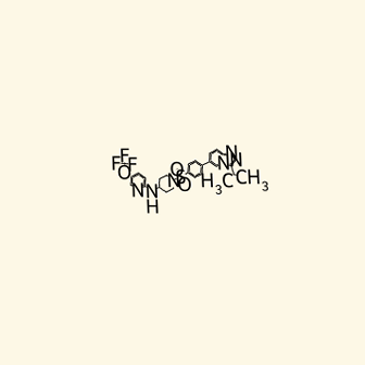 CC(C)c1nnc2ccc(-c3ccc(S(=O)(=O)N4CCC(Nc5ccc(OC(F)(F)F)cn5)CC4)cc3)cn12